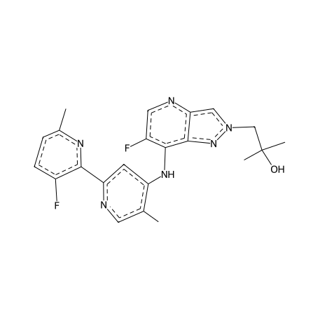 Cc1ccc(F)c(-c2cc(Nc3c(F)cnc4cn(CC(C)(C)O)nc34)c(C)cn2)n1